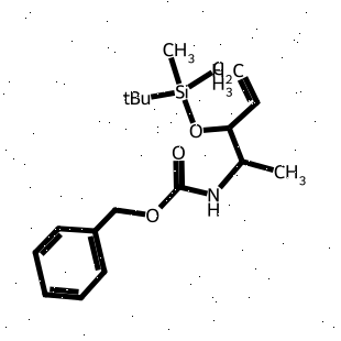 C=CC(O[Si](C)(C)C(C)(C)C)C(C)NC(=O)OCc1ccccc1